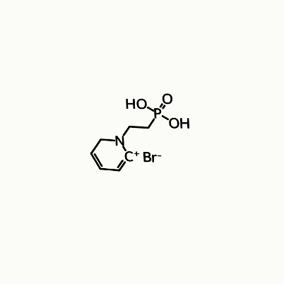 O=P(O)(O)CCN1[C+]=CC=CC1.[Br-]